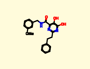 COc1cccc(CNC(=O)c2nc(CCc3ccccc3)nc(O)c2O)c1